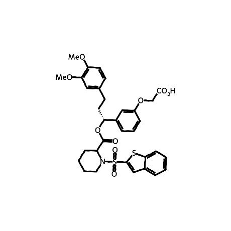 COc1ccc(CC[C@@H](OC(=O)C2CCCCN2S(=O)(=O)c2cc3ccccc3s2)c2cccc(OCC(=O)O)c2)cc1OC